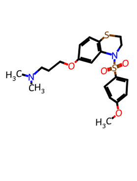 COc1ccc(S(=O)(=O)N2CCSc3ccc(OCCCN(C)C)cc32)cc1